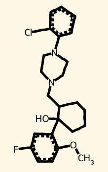 COc1ccc(F)cc1C1(O)CCCCC1CN1CCN(c2ccccc2Cl)CC1